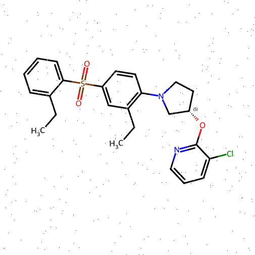 CCc1cc(S(=O)(=O)c2ccccc2CC)ccc1N1CC[C@H](Oc2ncccc2Cl)C1